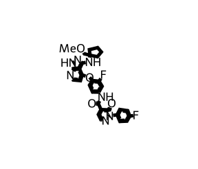 COCC1(Nc2n[nH]c3nccc(Oc4ccc(NC(=O)c5ccnn(-c6ccc(F)cc6)c5=O)cc4F)c23)CCCC1